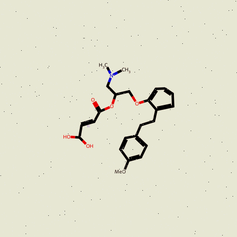 COc1ccc(CCc2ccccc2OCC(CN(C)C)OC(=O)/C=C/C(O)O)cc1